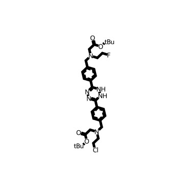 CC(C)(C)OC(=O)CN(CCF)Cc1ccc(C2=NN=C(c3ccc(CN(CCCl)CC(=O)OC(C)(C)C)cc3)NN2)cc1